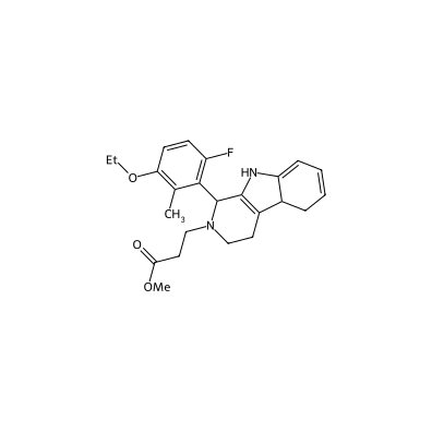 CCOc1ccc(F)c(C2C3=C(CCN2CCC(=O)OC)C2CC=CC=C2N3)c1C